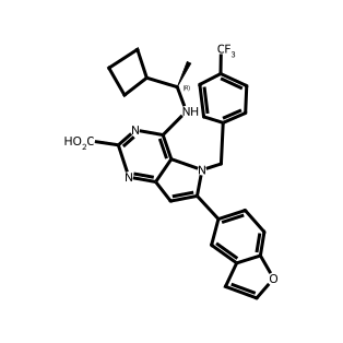 C[C@@H](Nc1nc(C(=O)O)nc2cc(-c3ccc4occc4c3)n(Cc3ccc(C(F)(F)F)cc3)c12)C1CCC1